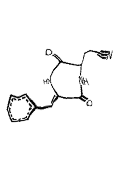 N#CCC1NC(=O)C(=Cc2ccccc2)NC1=O